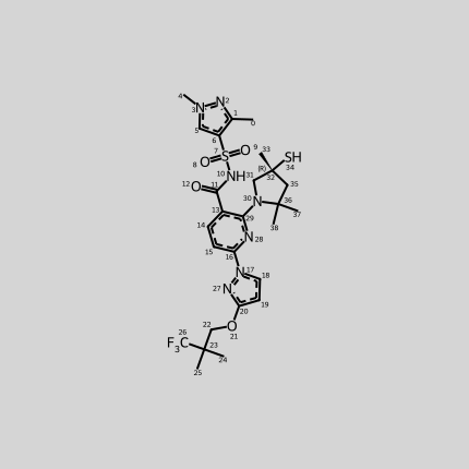 Cc1nn(C)cc1S(=O)(=O)NC(=O)c1ccc(-n2ccc(OCC(C)(C)C(F)(F)F)n2)nc1N1C[C@](C)(S)CC1(C)C